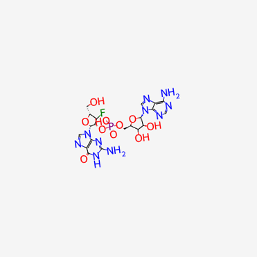 Nc1nc2c(ncn2[C@@H]2O[C@H](CO)C(F)[C@@H]2OP(=O)(O)OC[C@H]2O[C@@H](n3cnc4c(N)ncnc43)[C@@H](O)C2O)c(=O)[nH]1